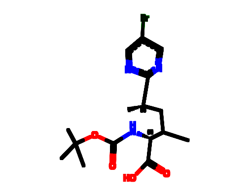 CC(C[C@H](C)c1ncc(Br)cn1)[C@@H](NC(=O)OC(C)(C)C)C(=O)O